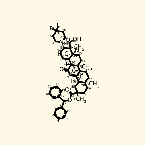 C[C@]1(C(=O)OC(c2ccccc2)c2ccccc2)CC[C@]2(C)CC[C@]3(C)C(=CC(=O)[C@@H]4[C@@]5(C)CC[C@H](N6CCC(F)(F)CC6)[C@@](C)(C(=O)O)[C@@H]5CC[C@]43C)[C@@H]2C1